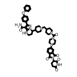 NC(=O)c1c(-c2ccc(Oc3ccccc3)cc2)nn2c1NCCC2C1CCN(CC2CCN(C(=O)N3CCN(c4ccc5c(c4)C(=O)N(C4CCC(=O)NC4=O)C5=O)CC3)CC2)CC1